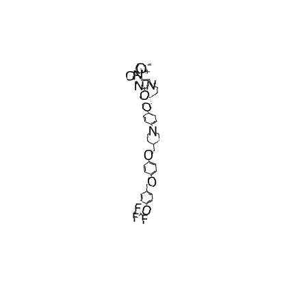 O=[N+]([O-])c1cn2c(n1)O[C@@H](COc1ccc(N3CCC(COc4ccc(OCc5ccc(OC(F)(F)F)cc5)cc4)CC3)cc1)CC2